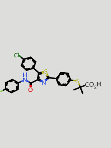 CC(C)(Sc1ccc(-c2nc(C(=O)Nc3ccc(F)cc3)c(-c3ccc(Cl)cc3)s2)cc1)C(=O)O